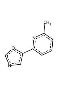 Cc1cccc(-c2cnco2)n1